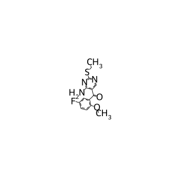 CCSc1ncc(C(=O)c2cc(F)ccc2OC)c(N)n1